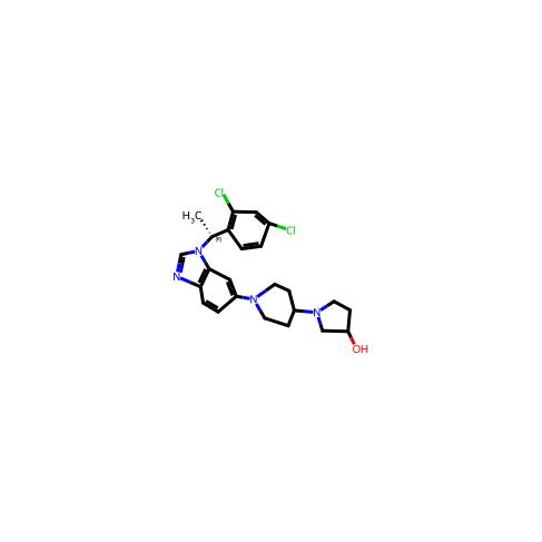 C[C@H](c1ccc(Cl)cc1Cl)n1cnc2ccc(N3CCC(N4CCC(O)C4)CC3)cc21